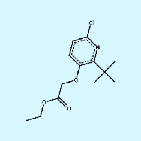 CCOC(=O)COc1ccc(Cl)nc1C(C)(C)C